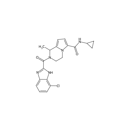 CC1c2ccc(C(=O)NC3CC3)n2CCN1C(=O)c1nc2cccc(Cl)c2[nH]1